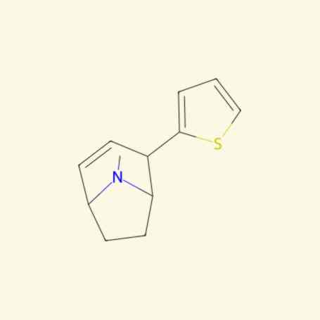 CN1C2C=CC(c3cccs3)C1CC2